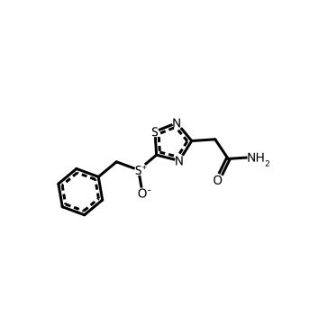 NC(=O)Cc1nsc([S+]([O-])Cc2ccccc2)n1